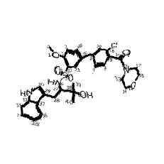 COc1ccc(-c2ccc(C(=O)N3CCOCC3)c(Cl)c2)cc1S(=O)(=O)NC(Cc1c[nH]c2ccccc12)C(C)(C)O